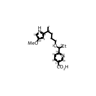 CCC(OCCCC(C)c1cc(OC)c[nH]1)c1ccc(C(=O)O)cn1